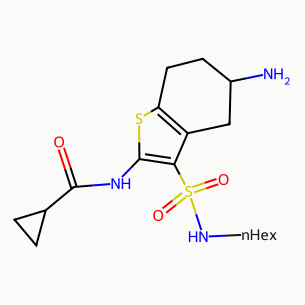 CCCCCCNS(=O)(=O)c1c(NC(=O)C2CC2)sc2c1CC(N)CC2